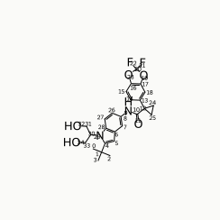 CC(C)(C)c1cc2cc(NC(=O)C3(c4ccc5c(c4)OC(F)(F)O5)CC3)ccc2n1C(CO)CO